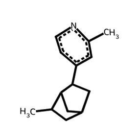 Cc1cc(C2CC3CC(C)C2C3)ccn1